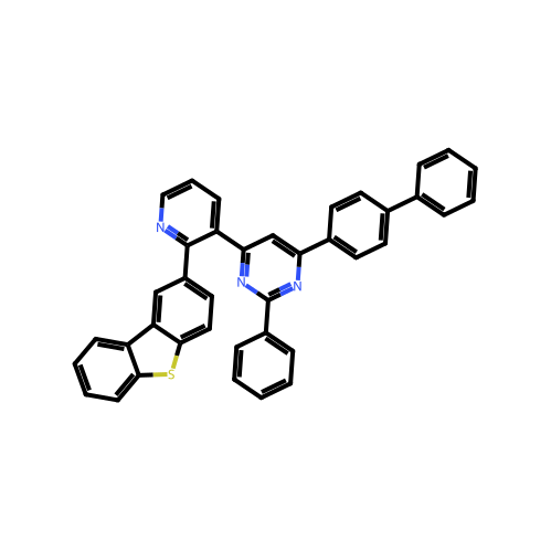 c1ccc(-c2ccc(-c3cc(-c4cccnc4-c4ccc5sc6ccccc6c5c4)nc(-c4ccccc4)n3)cc2)cc1